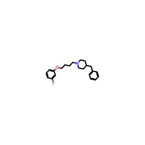 Fc1cccc(OCCCCN2CCC(Cc3ccccc3)CC2)c1